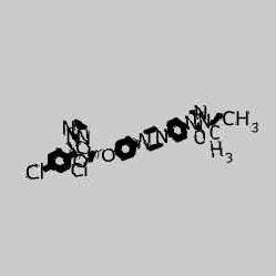 CCC(C)n1ncn(-c2ccc(N3CCN(c4ccc(OC[C@@H]5CO[C@](Cn6nccn6)(c6ccc(Cl)cc6Cl)O5)cc4)CC3)cc2)c1=O